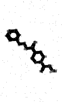 CC(C)(C)OC(=O)N1CCC(C(=O)SCCc2ccncc2)CC1